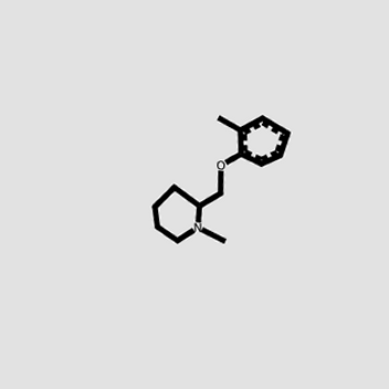 Cc1ccccc1OCC1CCCCN1C